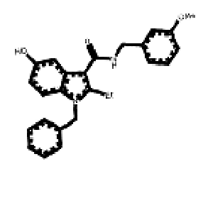 CCc1c(C(=O)NCc2cccc(OC)c2)c2cc(O)ccc2n1Cc1ccccc1